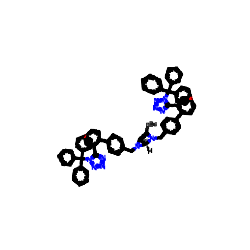 CCCCC1=C2[C@@H](N1Cc1ccc(-c3ccccc3-c3nnnn3C(c3ccccc3)(c3ccccc3)c3ccccc3)cc1)N2Cc1ccc(-c2ccccc2-c2nnnn2C(c2ccccc2)(c2ccccc2)c2ccccc2)cc1